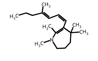 CCC/C(C)=C/C=C\C1=C(C)N(C)CCCC1(C)C